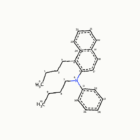 CCCCc1c(N(CCCC)c2ccccc2)ccc2ccccc12